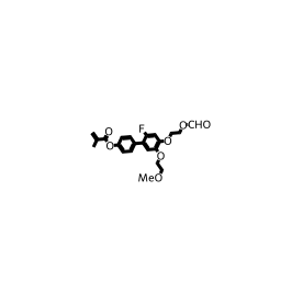 C=C(C)C(=O)Oc1ccc(-c2cc(OCCOC)c(OCCOC=O)cc2F)cc1